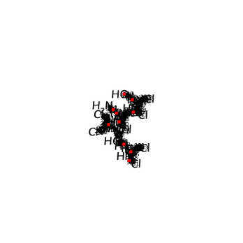 Clc1ccc2[nH]c3c(OCCCNC4CCNCC4)c4[nH]c5ccc(Cl)cc5c4cc3c2c1.NC1CCN(CCCOc2c3[nH]c4ccc(Cl)cc4c3cc3c2[nH]c2ccc(Cl)cc23)C1.OC1CCN(CCCOc2c3[nH]c4ccc(Cl)cc4c3cc3c2[nH]c2ccc(Cl)cc23)CC1.OC1CN(CCCOc2c3[nH]c4ccc(Cl)cc4c3cc3c2[nH]c2ccc(Cl)cc23)C1